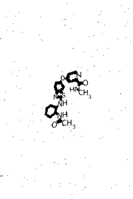 CNC(=O)c1cc(Oc2ccc3nc(NC4CCCCC4NC(C)=O)sc3c2)ccn1